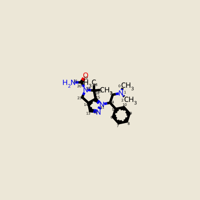 CN(C)CC(c1ccccc1)n1ncc2c1C(C)(C)N(C(N)=O)C2